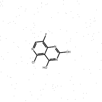 Oc1nc(O)c2c(Cl)ncc(F)c2n1